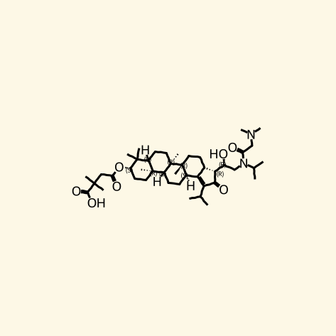 CC(C)C1=C2C(CC[C@]3(C)[C@@H]2CC[C@@H]2[C@@]4(C)CC[C@H](OC(=O)CC(C)(C)C(=O)O)C(C)(C)[C@@H]4CC[C@]23C)[C@H]([C@@H](O)CN(C(=O)CN(C)C)C(C)C)C1=O